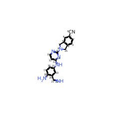 N#Cc1ccc2c(c1)CN(c1nccc(Nc3ccc(N)c(C=N)c3)n1)C2